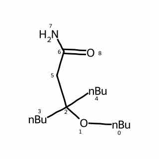 CCCCOC(CCCC)(CCCC)CC(N)=O